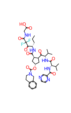 CCC[C@H](NC(=O)[C@@H]1C[C@@H](OC(=O)N2CCc3ccccc3C2)CC1C(=O)[C@@H](NC(=O)[C@@H](NC(=O)c1cnccn1)C(C)C)C(C)C)C(=O)C(F)(F)C(=O)NCC(=O)O